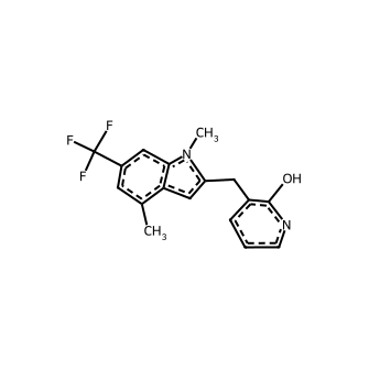 Cc1cc(C(F)(F)F)cc2c1cc(Cc1cccnc1O)n2C